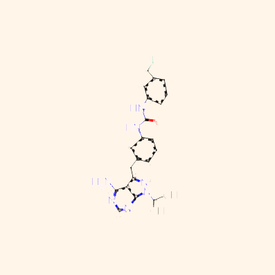 CC(C)n1nc(Cc2cccc(NC(=O)Nc3cccc(CF)c3)c2)c2c(N)ncnc21